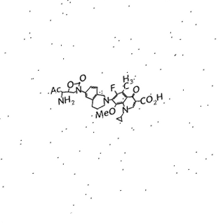 COc1c(N2CCCc3cc(N4CC(C(N)C(C)=O)OC4=O)ccc3C2)c(F)c(C)c2c(=O)c(C(=O)O)cn(C3CC3)c12